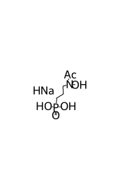 CC(=O)N(O)CCCP(=O)(O)O.[NaH]